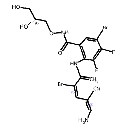 C=C(Nc1c(C(=O)NOC[C@H](O)CO)cc(Br)c(F)c1F)/C(Br)=C\C(C#N)=C/N